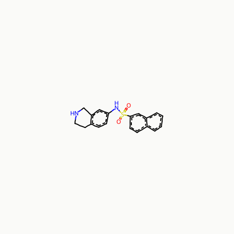 O=S(=O)(Nc1ccc2c(c1)CNCC2)c1ccc2ccccc2c1